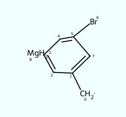 [CH2]c1cccc(Br)c1.[MgH2]